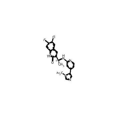 C[C@H](Nc1cc(-c2cncn2C)ccn1)c1cc2cc(Cl)c(F)cc2[nH]c1=O